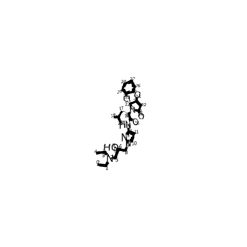 CCN(CC)C[C@H](O)Cn1ccc(NC(=O)[C@H](CC(C)C)N2CC(Oc3ccccc3Cl)=CC2=O)n1